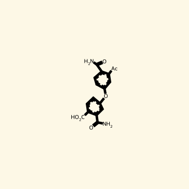 CC(=O)c1cc(Oc2ccc(C(=O)O)c(C(N)=O)c2)ccc1C(N)=O